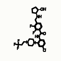 O=C(Nc1ccc(Cl)cc1N1CCN(CCC(F)(F)F)CC1)c1ccc(CN[C@@H]2CCC[C@@H]2O)c(F)c1F